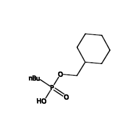 CCCCP(=O)(O)OCC1CCCCC1